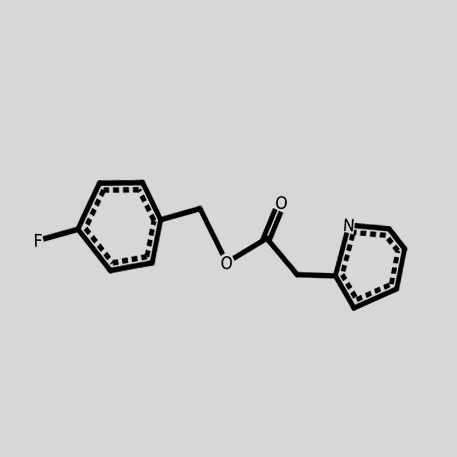 O=C(Cc1ccccn1)OCc1ccc(F)cc1